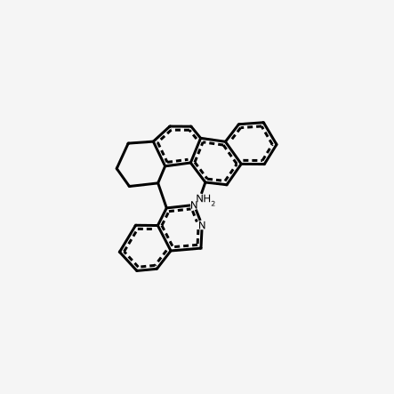 Nc1cc2ccccc2c2ccc3c(c12)C(c1nncc2ccccc12)CCC3